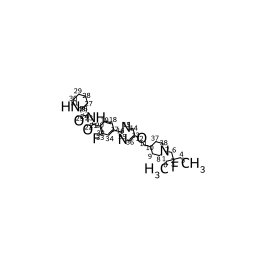 CCC(F)(CC)CN1CCC(COc2cnc(-c3ccc(C(=O)NC(=O)[C@H]4CCCCN4)c(F)c3)nc2)CC1